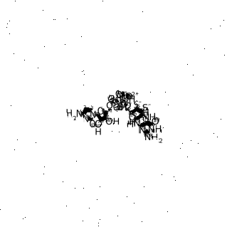 Nc1ccn([C@@H]2O[C@H](COP(=O)(O)OP(=O)(O)OC[C@H]3O[C@H]4Nc5nc(N)[nH]c(=O)c5N[C@H]4C([S-])=C3[S-])[C@@H](O)[C@H]2O)c(=O)n1.[O]=[Mo+2]=[O]